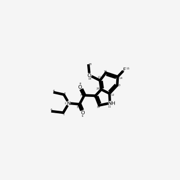 CCN(CC)C(=O)C(=O)c1c[nH]c2cc(F)cc(OC)c12